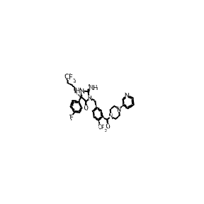 N=C1N[C@](CCCC(F)(F)F)(c2ccc(F)cc2)C(=O)N1Cc1ccc(C(F)(F)F)c(C(=O)N2CCN(c3cccnc3)CC2)c1